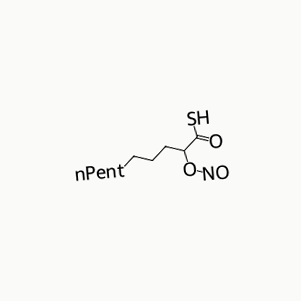 CCCCCCCCC(ON=O)C(=O)S